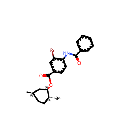 CC(C)[C@@H]1CC[C@@H](C)C[C@H]1OC(=O)c1ccc(NC(=O)c2ccccc2)c(Br)c1